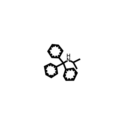 CC(C)NC(c1ccccc1)(c1ccccc1)c1ccccc1